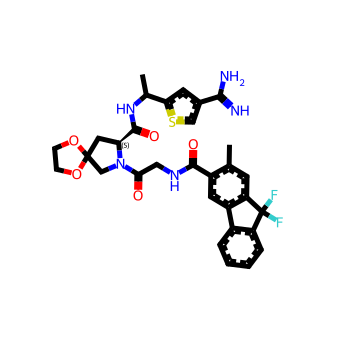 Cc1cc2c(cc1C(=O)NCC(=O)N1CC3(C[C@H]1C(=O)NC(C)c1cc(C(=N)N)cs1)OCCO3)-c1ccccc1C2(F)F